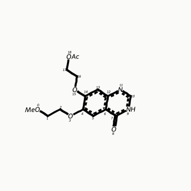 COCCOc1cc2c(=O)[nH]cnc2cc1OCCOC(C)=O